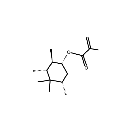 C=C(C)C(=O)O[C@@H]1C[C@H](C)C(C)(C)[C@H](C)[C@H]1C